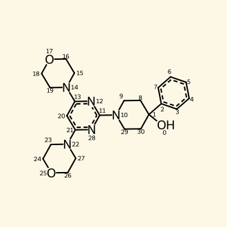 OC1(c2ccccc2)CCN(c2nc(N3CCOCC3)cc(N3CCOCC3)n2)CC1